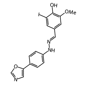 COc1cc(/C=N/Nc2ccc(-c3cnco3)cc2)cc(I)c1O